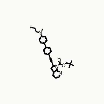 CN(CCF)c1ccc(-c2ccc(C#Cc3cc4cccnc4n3C(=O)OCC(C)(C)C)cc2)cc1